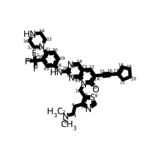 CN(C)CCc1ncsc1Cn1c(=O)c(C#CC2=CCCC2)cc2cnc(Nc3ccc(N4CCNCC4)c(C(F)(F)F)c3)nc21